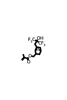 C=C(C)C(=O)OCC1CC2CC(CC(O)(C(F)(F)F)C(F)(F)F)C1S2